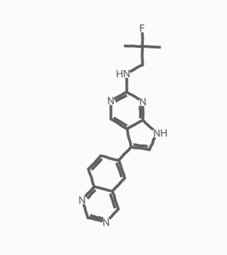 CC(C)(F)CNc1ncc2c(-c3ccc4ncncc4c3)c[nH]c2n1